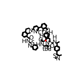 Cc1ncsc1-c1ccc(C(C)NC(=O)[C@@H]2C[C@@H](O)CN2C(=O)C(NC(=O)Cc2ccc(Oc3cccc(-c4ccc(N5CCc6cccc(C(=O)Nc7nc8ccccc8s7)c6C5)nc4C(=O)O)c3C)cc2)C(C)(C)C)cc1